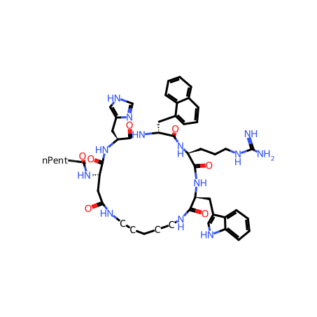 CCCCCC(=O)N[C@H]1CC(=O)NCCCCCNC(=O)[C@H](Cc2c[nH]c3ccccc23)NC(=O)[C@H](CCCNC(=N)N)NC(=O)[C@@H](Cc2cccc3ccccc23)NC(=O)[C@H](Cc2c[nH]cn2)NC1=O